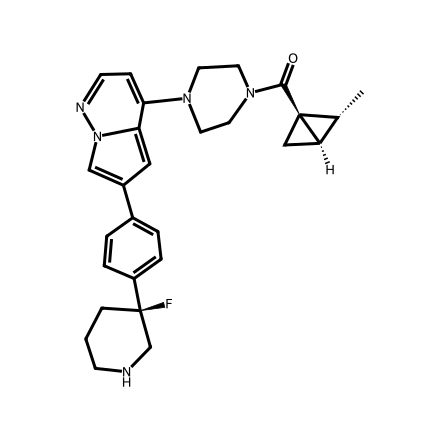 C[C@@H]1[C@H]2C[C@]12C(=O)N1CCN(c2ccnn3cc(-c4ccc([C@@]5(F)CCCNC5)cc4)cc23)CC1